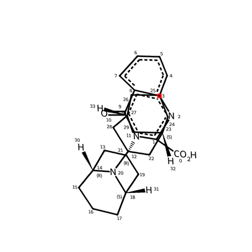 O=C(O)c1nc2ccccc2c(=O)n1[C@H]1C[C@H]2CCC[C@@H](C1)N2C1C[C@H]2CCC[C@@H](C1)C2